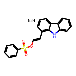 O=S(=O)(OC=Cc1cccc2c1[nH]c1ccccc12)c1ccccc1.[NaH]